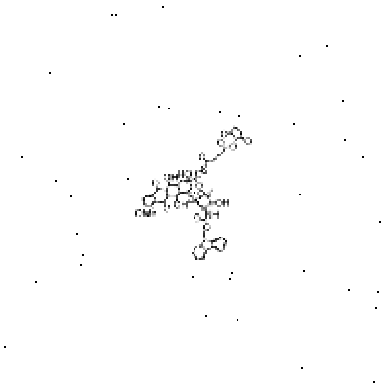 COc1cccc2c1C(=O)c1c(O)c3c(c(O)c1C2=O)C[C@@](O)(C(=O)COC(=O)CCCC(=O)OC1C(=O)CCC1=O)C[C@@H]3O[C@H]1C[C@H](NC(=O)OCC2c3ccccc3-c3ccccc32)[C@H](O)[C@H](C)O1